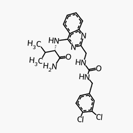 CC(C)[C@H](Nc1nc(CNC(=O)NCc2ccc(Cl)c(Cl)c2)nc2ccccc12)C(N)=O